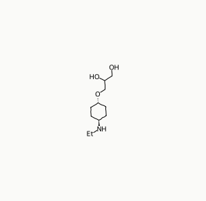 CCN[C@H]1CC[C@H](OCC(O)CO)CC1